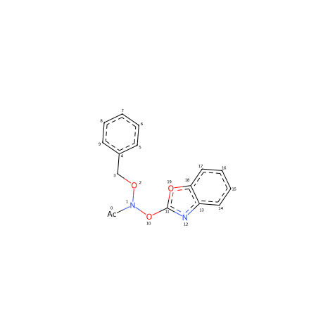 CC(=O)N(OCc1ccccc1)Oc1nc2ccccc2o1